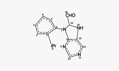 CC(C)c1ccccc1N1c2ncncc2NC1C=O